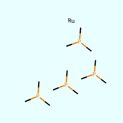 CP(C)C.CP(C)C.CP(C)C.CP(C)C.[Ru]